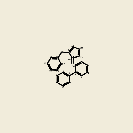 c1ccc(-c2ccccc2)cc1.c1ccc(Cc2ccc[nH]2)cc1